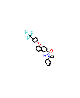 O=C(NC1(c2ccccc2)CC1)c1ccc2c(Oc3ccc(C(F)(F)F)cc3)cccc2c1